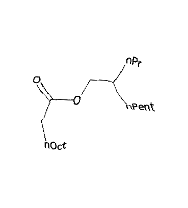 CCCCCCCCCC(=O)OCC(CCC)CCCCC